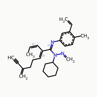 C#CC(=C)CC/C=C(\C=C/C)C(=N/c1ccc(C)c(C=C)c1)/N(N=C)C1CCCCC1